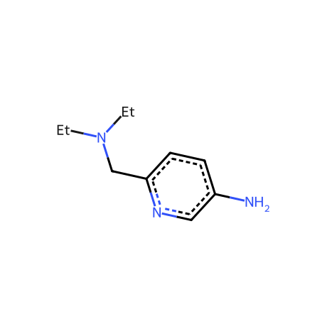 CCN(CC)Cc1ccc(N)cn1